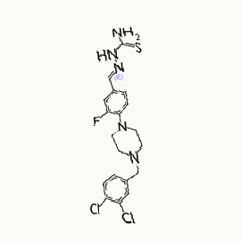 NC(=S)N/N=C/c1ccc(N2CCN(Cc3ccc(Cl)c(Cl)c3)CC2)c(F)c1